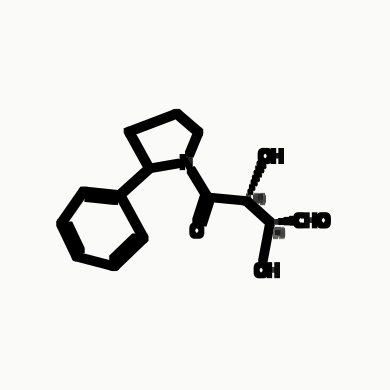 O=C[C@H](O)[C@@H](O)C(=O)N1CCCC1c1ccccc1